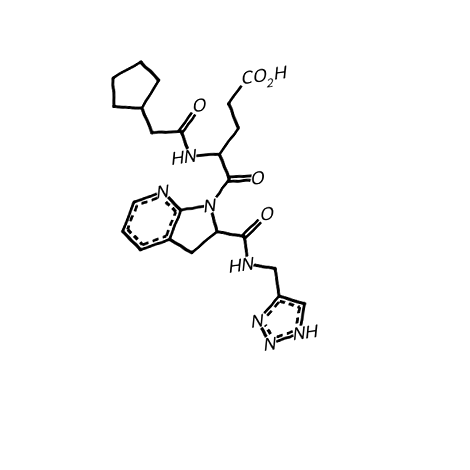 O=C(O)CCC(NC(=O)CC1CCCC1)C(=O)N1c2ncccc2CC1C(=O)NCc1c[nH]nn1